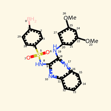 Bc1ccc(S(=O)(=O)Nc2nc3ccccc3nc2Nc2cc(OC)cc(OC)c2)cc1